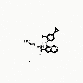 O=C(NOCCO)c1cc2ccncn2c1Nc1ccc(C2CC2)cc1F